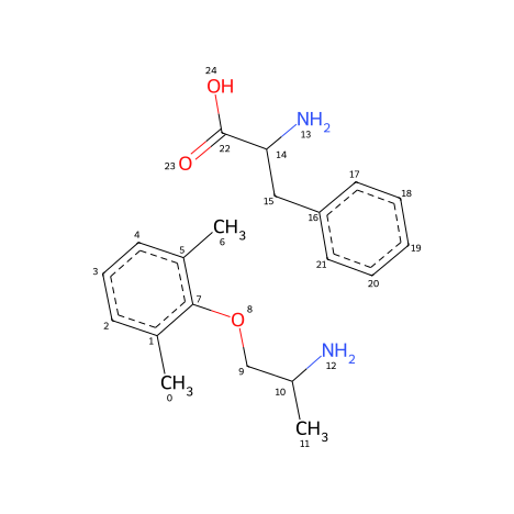 Cc1cccc(C)c1OCC(C)N.NC(Cc1ccccc1)C(=O)O